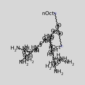 CCCCCCCC/C=C\CCCCCCCC(=O)OCC(COC(=O)CCCCCCC/C=C\CCCCCCCC)COC(=O)CCC(=O)NC(CCC(=O)NCCSSCCNC(=O)CNCCN(CCNC(=O)C(N)CCCN)CCNC(=O)C(N)CCCN)C(=O)NCCSSCCNC(=O)CNCCN(CCNC(=O)C(N)CCCN)CCNC(=O)C(N)CCCN